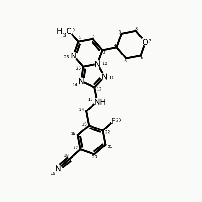 Cc1cc(C2CCOCC2)n2nc(NCc3cc(C#N)ccc3F)nc2n1